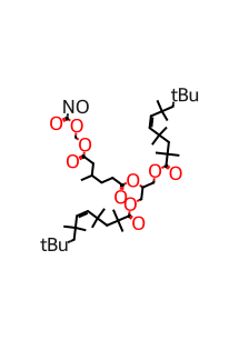 CC(CCC(=O)OC(COC(=O)C(C)(C)CC(C)(C)/C=C\C(C)(C)CC(C)(C)C)COC(=O)C(C)(C)CC(C)(C)/C=C\C(C)(C)CC(C)(C)C)CC(=O)OCOC(=O)N=O